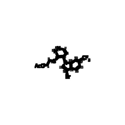 CC(=O)OCCSc1nnccc1-n1cc(Br)c2ccc(C(F)(F)F)cc21